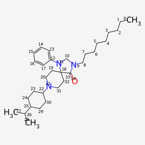 CCCCCCCCCN1CN(c2ccccc2)C2(CCN(C3CCC(C(C)C)CC3)CC2)C1=O